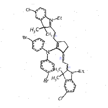 CCN1/C(=C/C=C2\CCC(/C=C/C3=[N+](CC)c4ccc(Cl)cc4C3(C)C)=C2N(c2ccc(Br)cc2)c2ccc(Br)cc2)C(C)(C)c2cc(Cl)ccc21